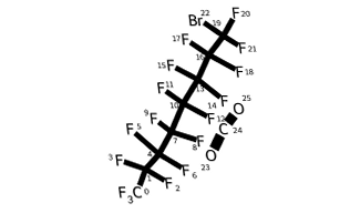 FC(F)(F)C(F)(F)C(F)(F)C(F)(F)C(F)(F)C(F)(F)C(F)(F)C(F)(F)Br.O=C=O